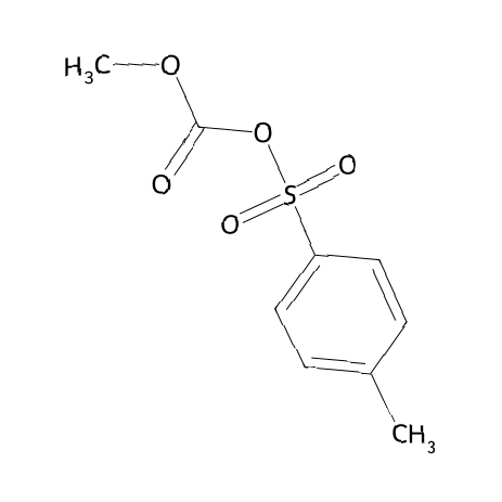 COC(=O)OS(=O)(=O)c1ccc(C)cc1